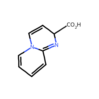 O=C(O)C1C=CN2C=CC=CC2=N1